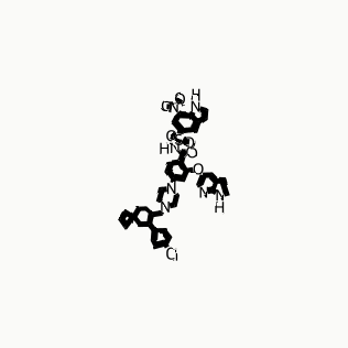 O=C(NS(=O)(=O)c1cc([N+](=O)[O-])c2[nH]ccc2c1)c1ccc(N2CCN(CC3=C(c4ccc(Cl)cc4)CC4(CCC4)CC3)CC2)cc1Oc1cnc2[nH]ccc2c1